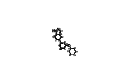 c1ncc(-c2cnc3[nH]ncc3c2)cc1OC1CCCCC1